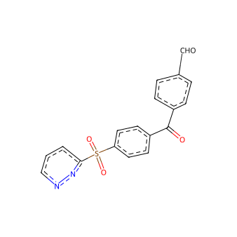 O=Cc1ccc(C(=O)c2ccc(S(=O)(=O)c3cccnn3)cc2)cc1